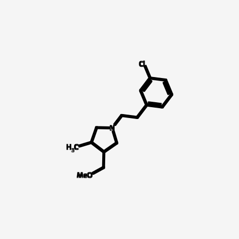 COCC1CN(CCc2cccc(Cl)c2)CC1C